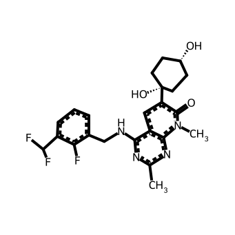 Cc1nc(NCc2cccc(C(F)F)c2F)c2cc([C@]3(O)CC[C@@H](O)CC3)c(=O)n(C)c2n1